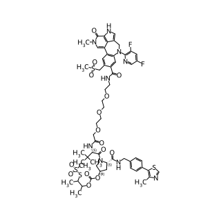 Cc1ncsc1-c1ccc(CNC(=O)[C@@H]2C[C@@H](OC(=O)OC(C)C(C)SS(C)(=O)=O)CN2C(=O)[C@@H](NC(=O)COCCOCCOCCNC(=O)c2cc3c(cc2CS(C)(=O)=O)-c2cn(C)c(=O)c4[nH]cc(c24)CN3c2ncc(F)cc2F)C(C)(C)C)cc1